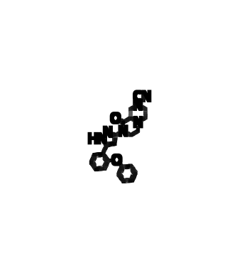 N#CN1CCN2CCN(c3cc(-c4ccccc4Oc4ccccc4)[nH]n3)C(=O)C2C1